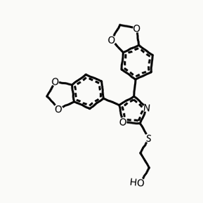 OCCSc1nc(-c2ccc3c(c2)OCO3)c(-c2ccc3c(c2)OCO3)o1